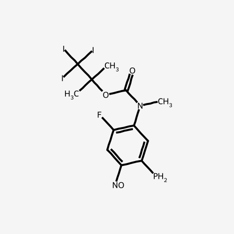 CN(C(=O)OC(C)(C)C(I)(I)I)c1cc(P)c(N=O)cc1F